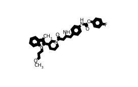 COCCCn1c(C2CCCN(C(=O)C[C@H](N)Cc3ccc(NC(=O)Oc4ccc(F)cc4)cc3)C2)c(C)c2ccccc21